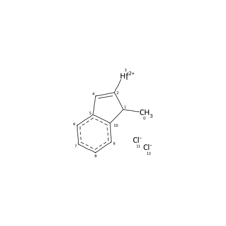 CC1[C]([Hf+2])=Cc2ccccc21.[Cl-].[Cl-]